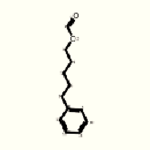 O=COCCCCCc1ccccc1